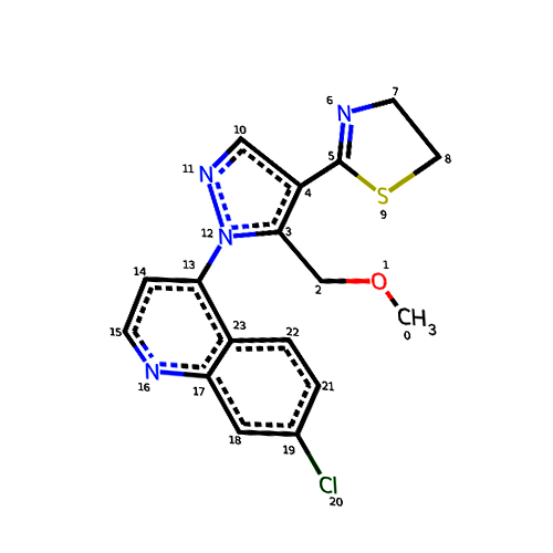 COCc1c(C2=NCCS2)cnn1-c1ccnc2cc(Cl)ccc12